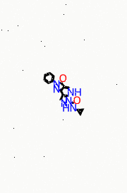 O=C(NC1CC1)n1ncc2c3nn(-c4ccccc4)c(=O)c-3c[nH]c21